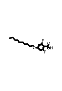 CCCCCCCCCCOc1cc(F)c(C(=O)O)c(F)c1